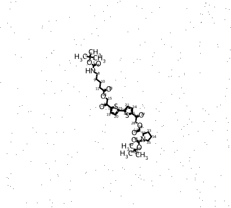 CC(C)(C)OC(=O)NCCCCC(=O)OCC(=O)c1ccc(-c2ccc(C(=O)COC(=O)[C@@H]3CCCN3C(=O)OC(C)(C)C)s2)s1